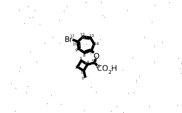 CC1CCC1C(OC1=CC=C(Br)C=CC1)C(=O)O